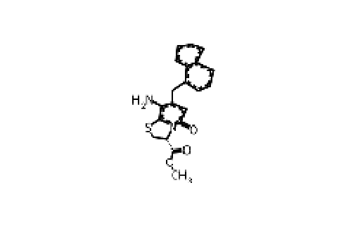 COC(=O)[C@@H]1CSc2c(N)c(Cc3cccc4ccccc34)cc(=O)n21